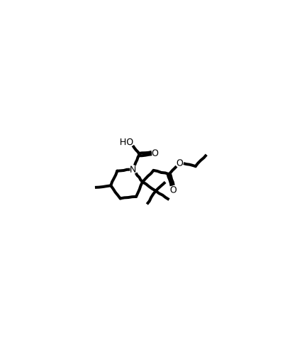 CCOC(=O)CC1(C(C)(C)C)CCC(C)CN1C(=O)O